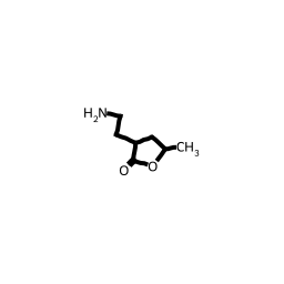 CC1CC(CCN)C(=O)O1